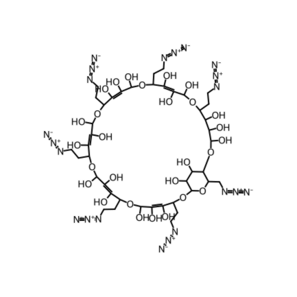 [N-]=[N+]=NCCC1OC(O)/C(O)=C(\O)C(CCN=[N+]=[N-])OC(O)/C(O)=C(\O)C(CCN=[N+]=[N-])OC(O)/C(O)=C(/O)C(CCN=[N+]=[N-])OC2OC(CN=[N+]=[N-])C(OC(O)C(O)C(O)C(CCN=[N+]=[N-])OC(O)/C(O)=C(\O)C(CCN=[N+]=[N-])OC(O)/C(O)=C\1O)C(O)C2O